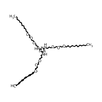 C#CC#CC#CC#CC#CC#COCCOCCOCCCNc1nc(NCCCOCCOCCOCCCCCCCCCCCC)nc(NCCCOCCOCCOCCCCCCCCCCCC)n1